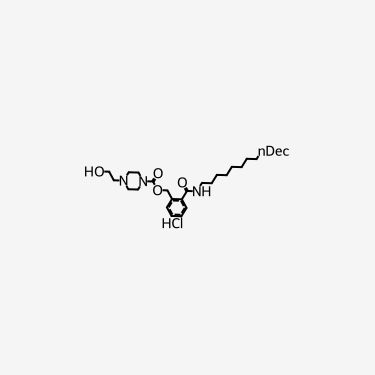 CCCCCCCCCCCCCCCCCCNC(=O)c1ccccc1COC(=O)N1CCN(CCO)CC1.Cl